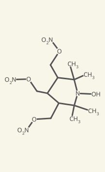 CC1(C)C(CO[N+](=O)[O-])C(CO[N+](=O)[O-])C(CO[N+](=O)[O-])C(C)(C)N1O